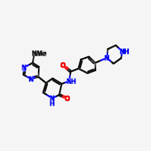 CNc1cc(-c2c[nH]c(=O)c(NC(=O)c3ccc(N4CCNCC4)cc3)c2)ncn1